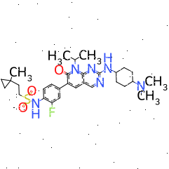 CC(C)n1c(=O)c(-c2ccc(NS(=O)(=O)CCC3(C)CC3)c(F)c2)cc2cnc(NC3CCC(N(C)C)CC3)nc21